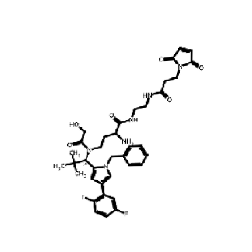 CC(C)(C)[C@H](c1cc(-c2cc(F)ccc2F)cn1Cc1ccccc1)N(CCC(N)C(=O)NCCNC(=O)CCN1C(=O)C=CC1=O)C(=O)CO